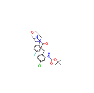 CC(C)(C)OC(=O)Nc1cc(Cl)ccc1C=CC(=O)N1CC2COCC(C1)N2Cc1ccc(F)cc1